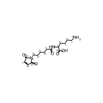 NCCCCC(NC(=O)CCCCCN1C(=O)C=CC1=O)C(=O)O